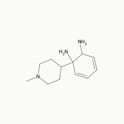 CN1CCC(C2(N)C=CC=CC2N)CC1